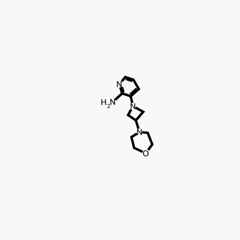 Nc1ncccc1N1CC(N2CCOCC2)C1